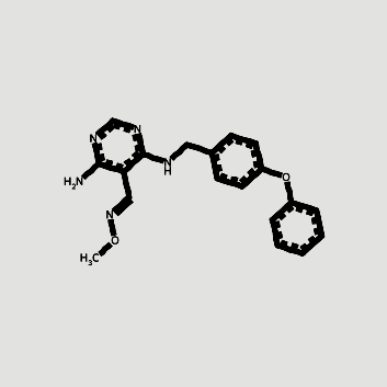 CON=Cc1c(N)ncnc1NCc1ccc(Oc2ccccc2)cc1